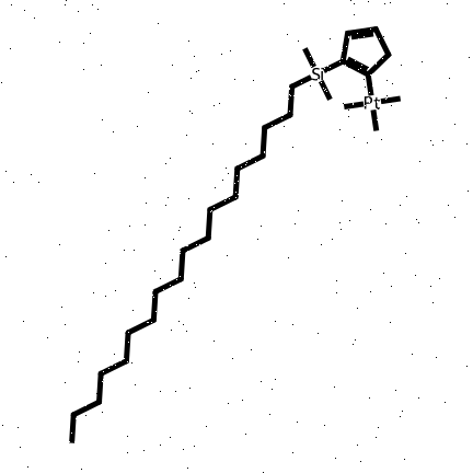 CCCCCCCCCCCCCCCCCC[Si](C)(C)C1=[C]([Pt]([CH3])([CH3])[CH3])CC=C1